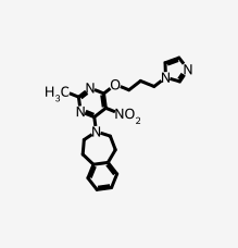 Cc1nc(OCCCn2ccnc2)c([N+](=O)[O-])c(N2CCc3ccccc3CC2)n1